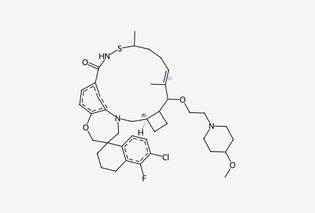 COC1CCN(CCOC2/C(C)=C/CCC(C)SNC(=O)c3ccc4c(c3)N(C[C@@H]3CCC23)CC2(CCCc3c2ccc(Cl)c3F)CO4)CC1